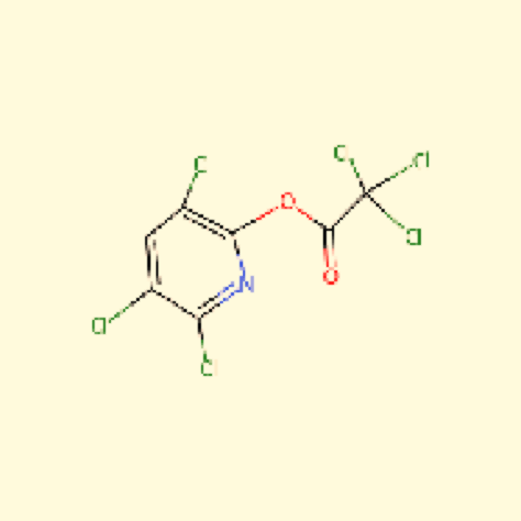 O=C(Oc1nc(Cl)c(Cl)cc1Cl)C(Cl)(Cl)Cl